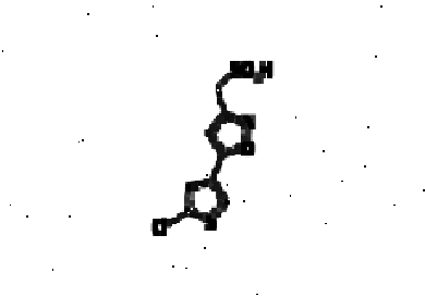 O=S(=O)(O)Cc1cc(-c2csc(Cl)c2)on1